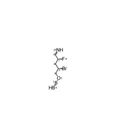 B=BOC[C@H](Br)C[C@H](F)C=N